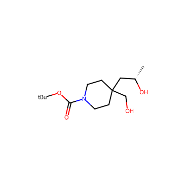 C[C@H](O)CC1(CO)CCN(C(=O)OC(C)(C)C)CC1